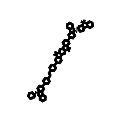 CC1(C)c2ccccc2-c2ccc(-n3c4ccccc4c4cc(-c5ccc6c(c5)C(C)(C)c5cc7c(cc5-6)C(C)(C)c5cc(-c6ccc(/C=C/c8ccc(-c9ccc%10c(c9)c9ccccc9n%10-c9ccccc9)cc8)cc6)ccc5-7)ccc43)cc21